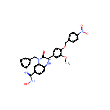 COc1cc([C@@H](Nc2ccc(C(=N)NO)cc2)C(=O)NCc2ccccc2)ccc1OCc1ccc([N+](=O)[O-])cc1